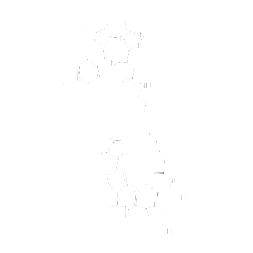 Cc1ncsc1-c1ccc(C(C)NC(=O)C2C[C@@H](O)CN2C(=O)C(NC(=O)COCCCOCCNC(=O)CC2N=C(c3ccc(Cl)cc3)c3c(sc(C)c3C)-n3c(C)nnc32)C(C)(C)C)cc1